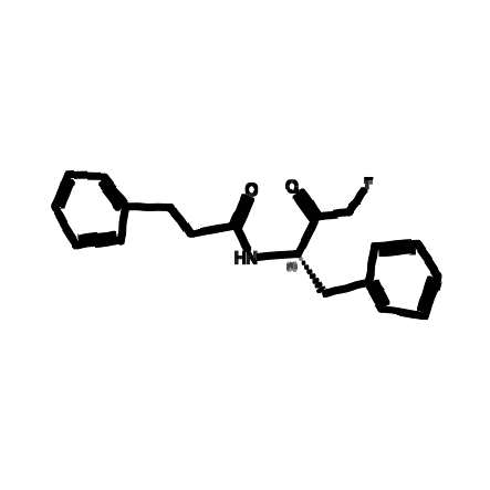 O=C(CCc1ccccc1)N[C@@H](Cc1ccccc1)C(=O)CF